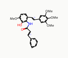 COc1ccc(/C=C/c2cc(OC)c(OC)c(OC)c2)c(NC(=O)/C=C/c2ccccc2)c1O